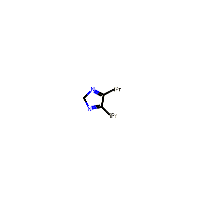 CC(C)C1=NCN=C1C(C)C